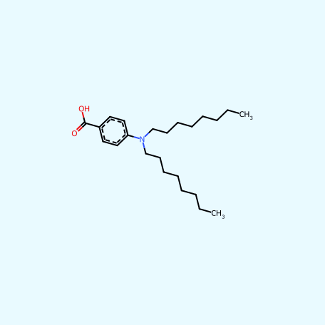 CCCCCCCCN(CCCCCCCC)c1ccc(C(=O)O)cc1